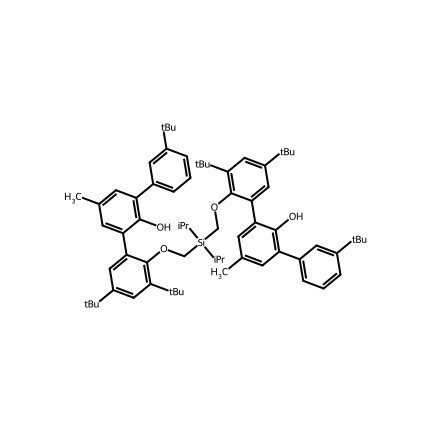 Cc1cc(-c2cccc(C(C)(C)C)c2)c(O)c(-c2cc(C(C)(C)C)cc(C(C)(C)C)c2OC[Si](COc2c(-c3cc(C)cc(-c4cccc(C(C)(C)C)c4)c3O)cc(C(C)(C)C)cc2C(C)(C)C)(C(C)C)C(C)C)c1